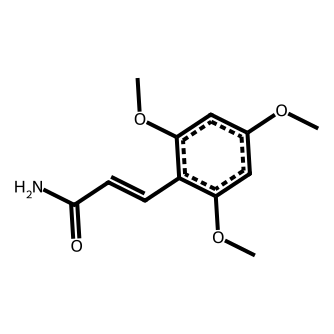 COc1cc(OC)c(C=CC(N)=O)c(OC)c1